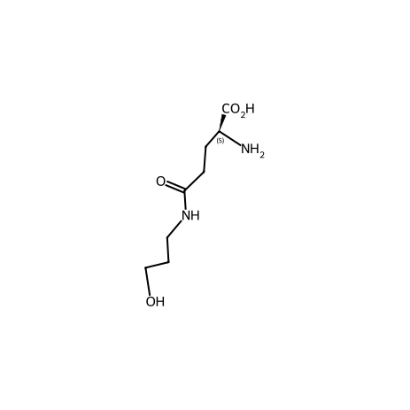 N[C@@H](CCC(=O)NCCCO)C(=O)O